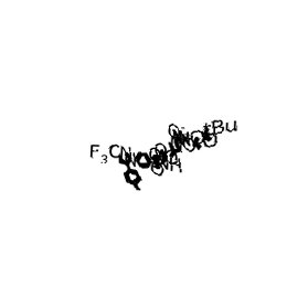 Cc1ccc(-c2cc(C(F)(F)F)nn2-c2ccc(S(=O)(=O)NC(=O)OC3CN(/[N+]([O-])=N\OC(C)OC(=O)C(C)(C)C)C3)cc2)cc1